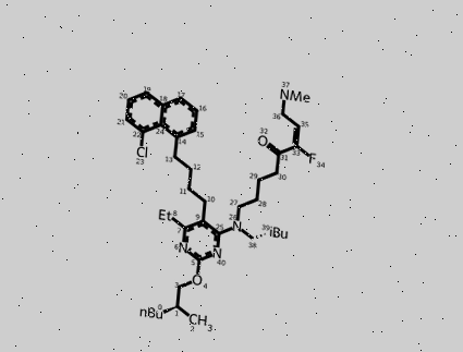 CCCC[C@H](C)COc1nc(CC)c(CCCCc2cccc3cccc(Cl)c23)c(N(CCCCC(=O)/C(F)=C\CNC)C[C@@H](C)CC)n1